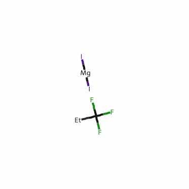 [CH2]CC(F)(F)F.[I][Mg][I]